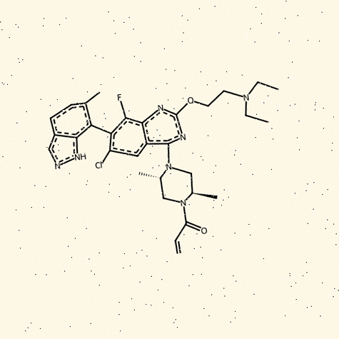 C=CC(=O)N1C[C@H](C)N(c2nc(OCCN(CC)CC)nc3c(F)c(-c4c(C)ccc5cn[nH]c45)c(Cl)cc23)C[C@H]1C